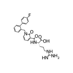 N=C(N)NCCC[C@H](NC(=O)c1cccn(Cc2ccccc2-c2ccc(F)cc2)c1=O)C(=O)O